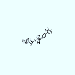 Cc1ncc(-c2ccc(NC(=O)C(C)(C)c3csc(N[S+]([O-])C4CC4)n3)cc2)nc1C